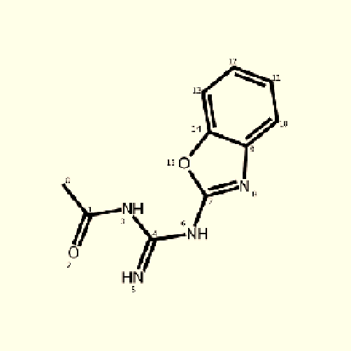 CC(=O)NC(=N)Nc1nc2ccccc2o1